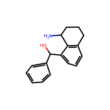 NC1CCCc2cccc(C(O)c3ccccc3)c21